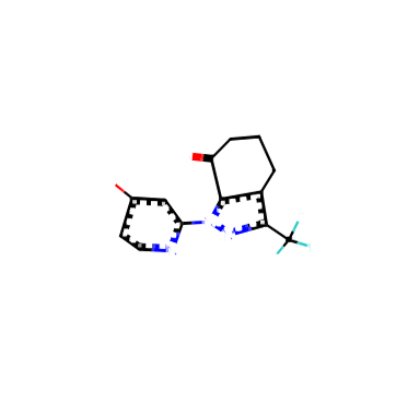 O=C1CCCc2c(C(F)(F)F)nn(-c3cc(O)ccn3)c21